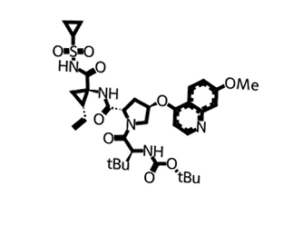 C=C[C@@H]1C[C@]1(NC(=O)[C@@H]1C[C@@H](Oc2ccnc3cc(OC)ccc23)CN1C(=O)[C@@H](NC(=O)OC(C)(C)C)C(C)(C)C)C(=O)NS(=O)(=O)C1CC1